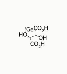 O=C(O)C(O)C(O)C(=O)O.[Ge]